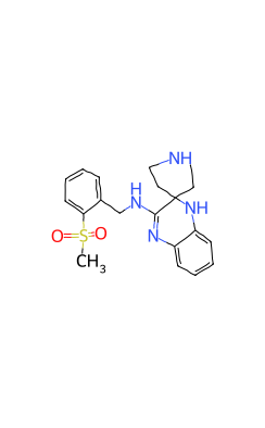 CS(=O)(=O)c1ccccc1CNC1=Nc2ccccc2NC12CCNCC2